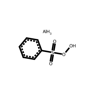 O=S(=O)(OO)c1ccccc1.[AlH3]